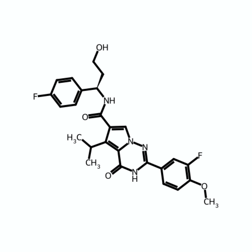 COc1ccc(-c2nn3cc(C(=O)N[C@H](CCO)c4ccc(F)cc4)c(C(C)C)c3c(=O)[nH]2)cc1F